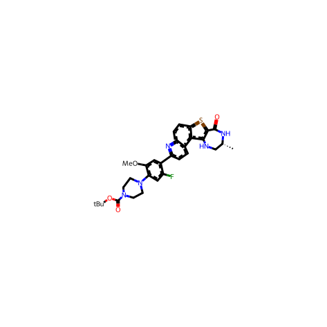 COc1cc(-c2ccc3c(ccc4sc5c(c43)NC[C@@H](C)NC5=O)n2)c(F)cc1N1CCN(C(=O)OC(C)(C)C)CC1